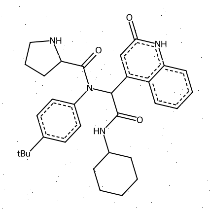 CC(C)(C)c1ccc(N(C(=O)C2CCCN2)C(C(=O)NC2CCCCC2)c2cc(=O)[nH]c3ccccc23)cc1